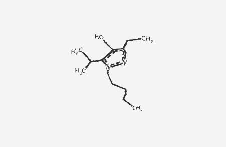 CCCCn1nc(CC)c(O)c1C(C)C